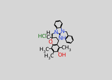 Cc1c(C)c2c(c(C)c1O)CCC(C)(Cn1c(=N)n(Cc3ccccc3)c3ccccc31)O2.Cl